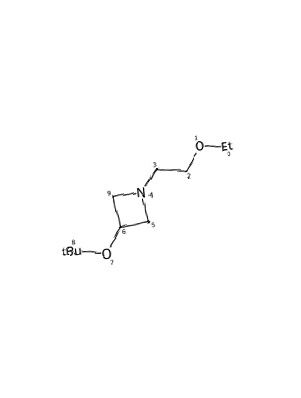 CCOCCN1CC(OC(C)(C)C)C1